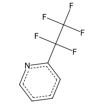 FC(F)(F)C(F)(F)c1ccccn1